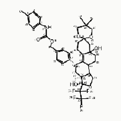 Cc1ccc(NC(=O)OCc2ccc([C@H]3C[C@@]4(C)C(CC[C@@]4(O)C(F)(F)C(F)(F)F)C4CCC5(O)CC6(CCC5=C43)OCC(C)(C)CO6)cc2)cc1